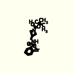 CC(C)(C)OC(=O)N1CC(CNS(=O)(=O)c2ccccc2Br)C1